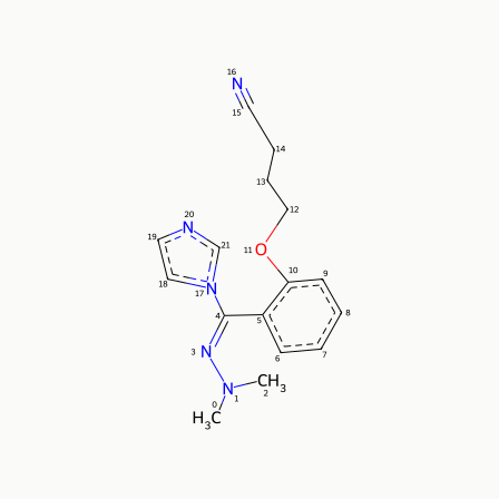 CN(C)/N=C(\c1ccccc1OCCCC#N)n1ccnc1